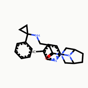 N#Cc1ccc(N2C3CCC2CN(C(=O)CCNC2(c4ccccc4)CC2)C3)nc1